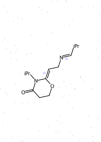 CC(C)/C=N/C/C=C1\OCCC(=O)N1C(C)C